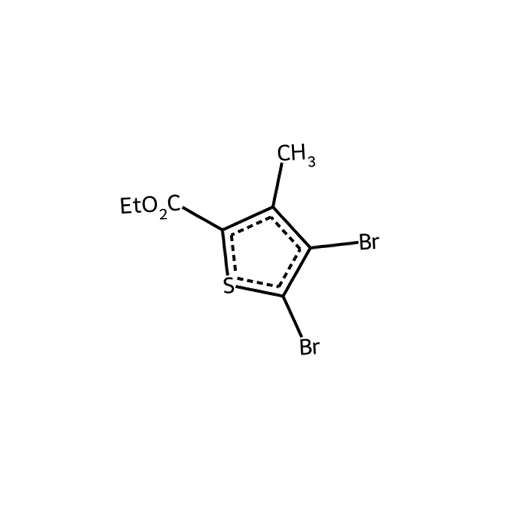 CCOC(=O)c1sc(Br)c(Br)c1C